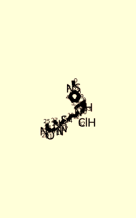 Cc1nc2ccc([C@]34C[C@H]3CN(CCCSc3nnc(-c5ocnc5C)n3C)C4)cc2s1.Cl